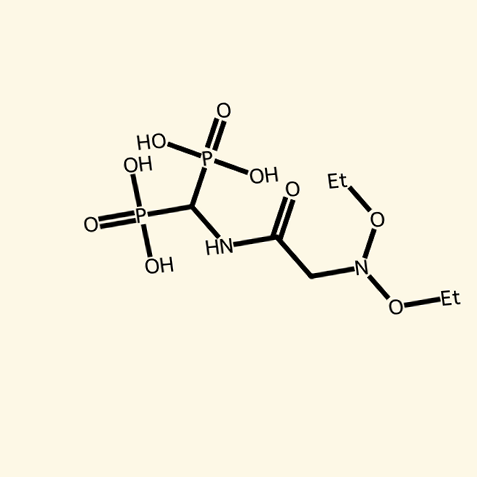 CCON(CC(=O)NC(P(=O)(O)O)P(=O)(O)O)OCC